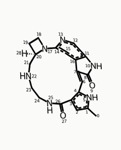 Cc1cc2c([nH]1)/C=C1\C(=O)Nc3cnc(cc31)N1CC[C@@H]1CNCCNC2=O